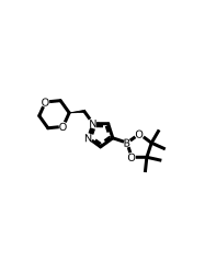 CC1(C)OB(c2cnn(C[C@@H]3COCCO3)c2)OC1(C)C